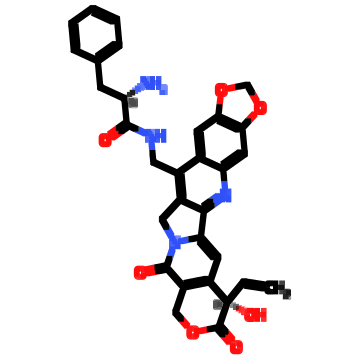 C=C[C@@]1(O)C(=O)OCc2c1cc1n(c2=O)Cc2c-1nc1cc3c(cc1c2CNC(=O)[C@@H](N)Cc1ccccc1)OCO3